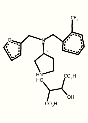 FC(F)(F)c1ccccc1CN(Cc1ccco1)[C@H]1CCNC1.O=C(O)C(O)C(O)C(=O)O